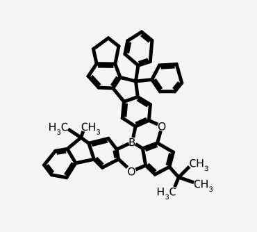 CC(C)(C)c1cc2c3c(c1)Oc1cc4c(cc1B3c1cc3c(cc1O2)C(c1ccccc1)(c1ccccc1)c1c-3ccc2c1CCC2)C(C)(C)c1ccccc1-4